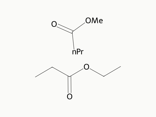 CCCC(=O)OC.CCOC(=O)CC